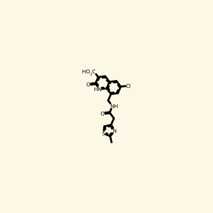 Cc1nc(CC(=O)NCc2cc(Cl)cc3cc(C(=O)O)c(=O)[nH]c23)cs1